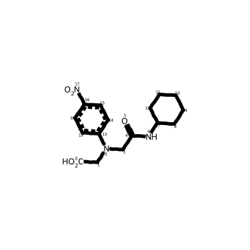 O=C(O)CN(CC(=O)NC1CCCCC1)c1ccc([N+](=O)[O-])cc1